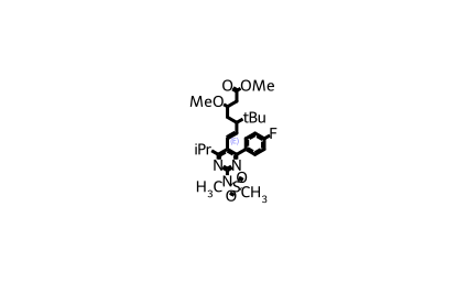 COC(=O)CC(CC(/C=C/c1c(-c2ccc(F)cc2)nc(N(C)S(C)(=O)=O)nc1C(C)C)C(C)(C)C)OC